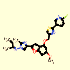 C=C/C(C)=N\n1cc(-c2cc3c(OCc4csc(-c5ccc(F)nc5)n4)cc(OC)cc3o2)nc1C